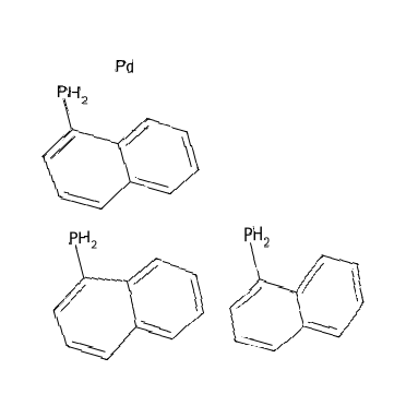 Pc1cccc2ccccc12.Pc1cccc2ccccc12.Pc1cccc2ccccc12.[Pd]